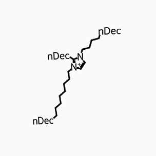 CCCCCCCCCCCCCCCCCC[n+]1ccn(CCCCCCCCCCCCCC)c1CCCCCCCCCC